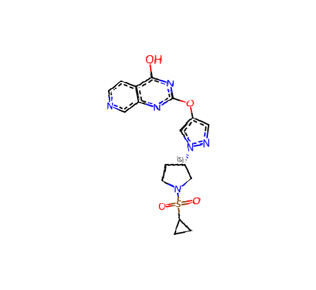 O=S(=O)(C1CC1)N1CC[C@H](n2cc(Oc3nc(O)c4ccncc4n3)cn2)C1